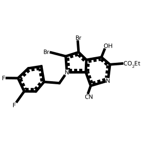 CCOC(=O)c1nc(C#N)c2c(c1O)c(Br)c(Br)n2Cc1ccc(F)c(F)c1